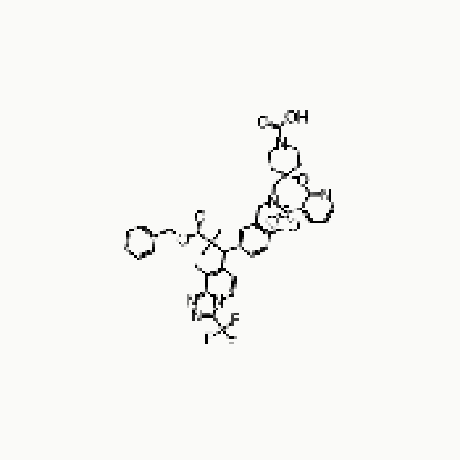 Cc1ccc(C(c2ccn3c(C(F)(F)F)nnc3c2C)C(C)(C)C(=O)OCc2ccccc2)cc1CN1CC2(CCN(C(=O)O)CC2)Oc2ncccc2S1(=O)=O